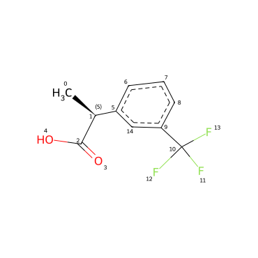 C[C@H](C(=O)O)c1cccc(C(F)(F)F)c1